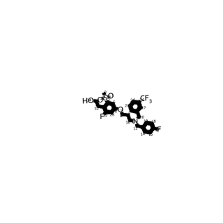 CS(=O)(=O)c1cc(OCCCN(Cc2ccc(F)cc2)Cc2cccc(C(F)(F)F)c2)cc(F)c1CCO